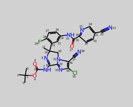 CC(C)(C)OC(=O)NC1=NC(C)(c2cc(NC(=O)c3ccc(C#N)cn3)ccc2F)Cn2c1nc(Cl)c2C#N